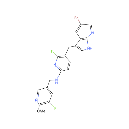 COc1ncc(CNc2ccc(Cc3c[nH]c4ncc(Br)cc34)c(F)n2)cc1F